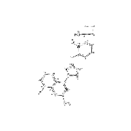 Nc1nc(-c2cn(Cc3cccc(C4(O)CCC4)[n+]3[O-])nn2)c2cccc(F)c2n1